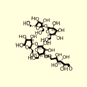 O=C[C@@H](O)[C@@H](O)[C@H](O)[C@H](O)CO.OC[C@H]1O[C@@H](O[C@H]2[C@H](O)[C@@H](O)[C@H](O)O[C@@H]2CO)[C@H](O)[C@@H](O)[C@H]1O.OC[C@H]1O[C@@](CO)(O[C@H]2O[C@H](CO)[C@@H](O)[C@H](O)[C@H]2O)[C@@H](O)[C@@H]1O